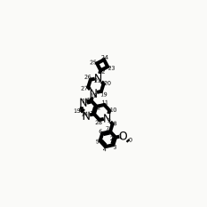 COc1ccccc1CN1CCc2c(ncnc2N2CCN(C3CCC3)CC2)C1